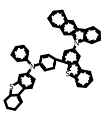 C1=CC(c2cc(-n3c4ccccc4c4cc5ccccc5cc43)cc3c2sc2ccccc23)CC=C1N(c1ccccc1)c1ccc2c(c1)SC1CCCC=C21